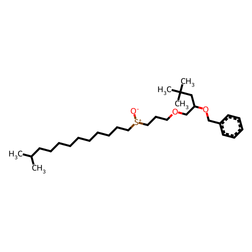 CC(C)CCCCCCCCCC[S+]([O-])CCCOCC(CC(C)(C)C)OCc1ccccc1